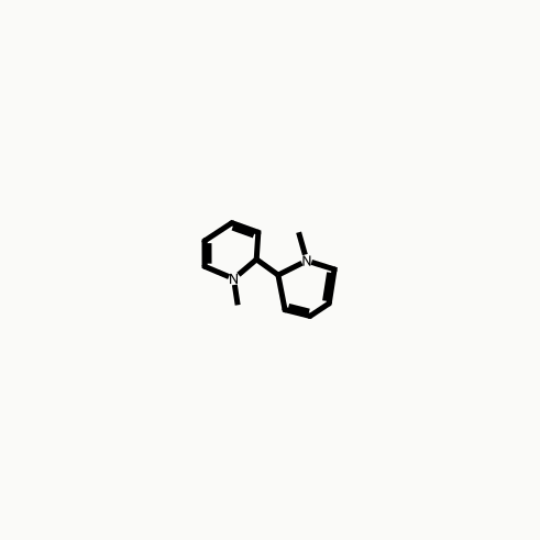 CN1C=CC=CC1C1C=CC=CN1C